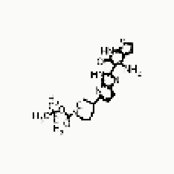 CC(C)(C)OC(=O)N1CCCC(c2ccc3nc(-c4c(N)c5ccsc5[nH]c4=O)[nH]c3n2)CC1